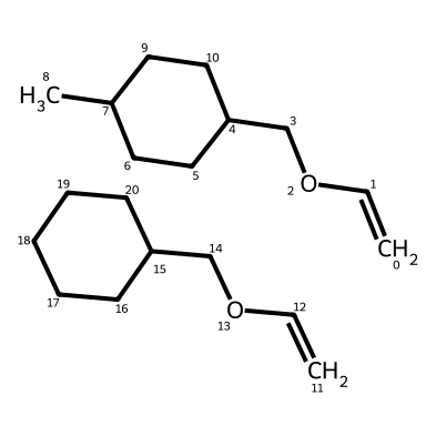 C=COCC1CCC(C)CC1.C=COCC1CCCCC1